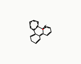 C1=CC2=CC=CC3=C4C=CCC=C4c4ccccc4C23C=C1